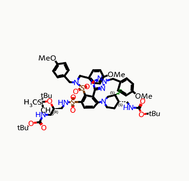 COc1ccc(CN(Cc2ccc(OC)cc2)S(=O)(=O)c2c(S(=O)(=O)NC[C@@H](CNC(=O)OC(C)(C)C)O[Si](C)(C)C(C)(C)C)ccc(N3CC[C@@H](CNC(=O)OC(C)(C)C)[C@H](F)C3)c2-c2nnn(Cc3ccc(OC)cc3)n2)cc1